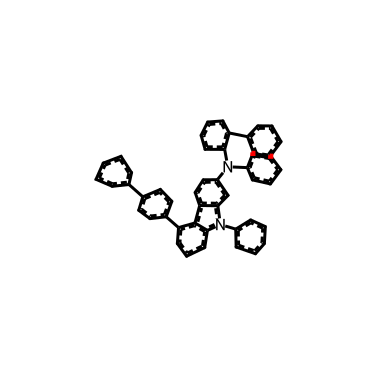 c1ccc(-c2ccc(-c3cccc4c3c3ccc(N(c5ccccc5)c5ccccc5-c5ccccc5)cc3n4-c3ccccc3)cc2)cc1